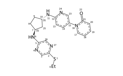 CCSc1cnc(N[C@H]2CC[C@H](Nc3ccc(-n4ccccc4=O)cn3)C2)cn1